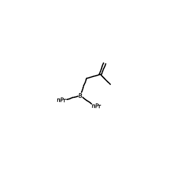 C=C(C)CB(CCC)CCC